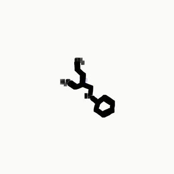 C=C/C=C(\C=C)CNC1C=CC=CC1